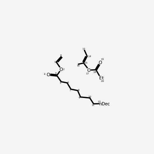 C=COC(=O)CCCCCCCCCCCCCCCCC.CC=C(C)OC(=O)CC